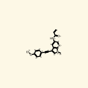 C=CC(=O)Nc1cnc2c(c1)c(C#Cc1ccc(OCC)cc1)cn2C